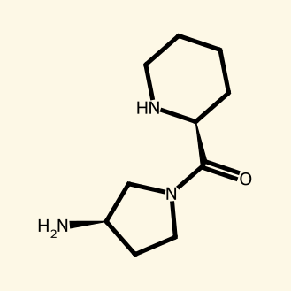 N[C@@H]1CCN(C(=O)[C@@H]2CCCCN2)C1